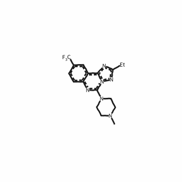 CCc1nc2c3cc(C(F)(F)F)ccc3nc(N3CCN(C)CC3)n2n1